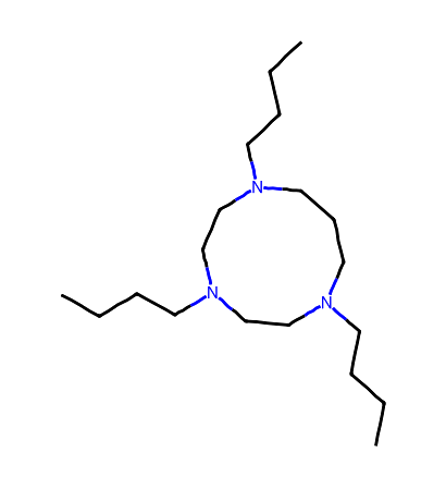 CCCCN1CCCN(CCCC)CCN(CCCC)CC1